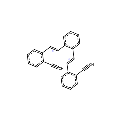 C#Cc1ccccc1/C=C/c1ccccc1/C=C/c1ccccc1C#C